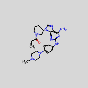 C=CC(=O)N1CCCC(n2cnc3c(N)nc(Nc4ccc(N5CCN(C)CC5)cc4)nc32)C1